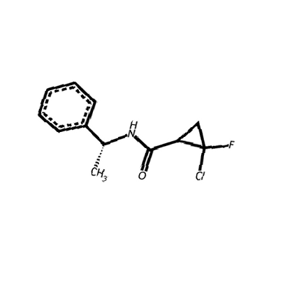 C[C@@H](NC(=O)C1CC1(F)Cl)c1ccccc1